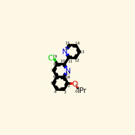 CC(C)Oc1cccc2cc(Cl)c(-c3ccccn3)nc12